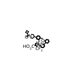 O=C(O)c1cnn(-c2cccc(-c3ccccc3OCc3ccc(C4CCN(C(=O)C5CCC5)CC4)cc3F)n2)c1C(F)(F)F